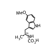 COc1ccc2[nH]cc(C[C@H](C)NC(=O)O)c2c1